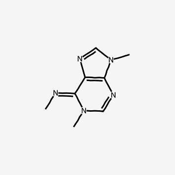 C/N=c1/c2ncn(C)c2ncn1C